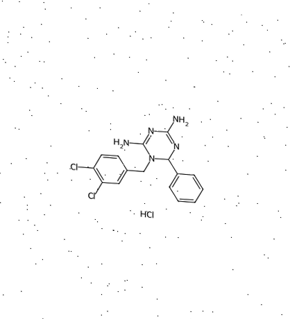 Cl.NC1=NC(c2ccccc2)N(Cc2ccc(Cl)c(Cl)c2)C(N)=N1